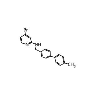 Cc1ccc(-c2ccc(CNc3cc(Br)ccn3)cc2)cc1